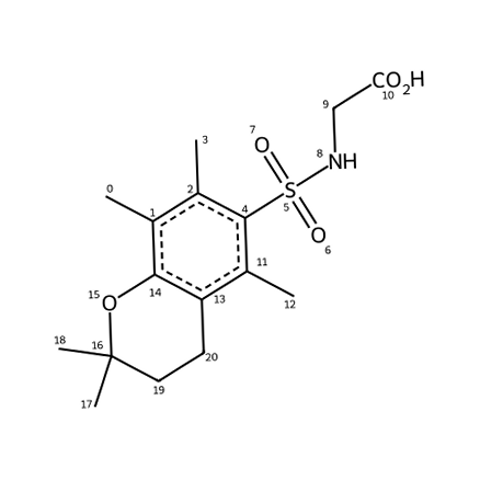 Cc1c(C)c(S(=O)(=O)NCC(=O)O)c(C)c2c1OC(C)(C)CC2